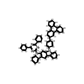 c1ccc(-c2nc(-c3ccccc3)nc(-n3c4ccccc4c4cc5c6ccccc6n(-c6ccc(-c7ccc8c9ccccc9c9ccccc9c8c7)cc6)c5cc43)n2)cc1